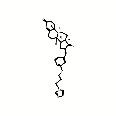 C[C@]12CCC(=O)C=C1CC[C@@H]1[C@@H]2CC[C@]2(C)C(=O)/C(=C/c3cccc(OCCCn4ccnc4)c3)C[C@@H]12